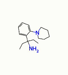 CCC(N)(CC)c1ccccc1N1CCCCC1